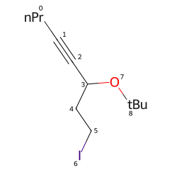 CCCC#CC(CCI)OC(C)(C)C